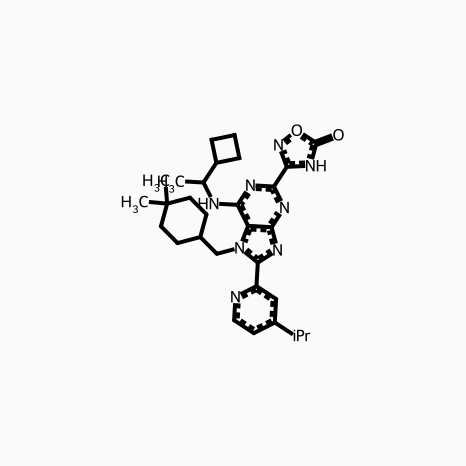 CC(C)c1ccnc(-c2nc3nc(-c4noc(=O)[nH]4)nc(NC(C)C4CCC4)c3n2CC2CCC(C)(C)CC2)c1